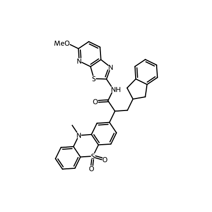 COc1ccc2nc(NC(=O)C(CC3Cc4ccccc4C3)c3ccc4c(c3)N(C)c3ccccc3S4(=O)=O)sc2n1